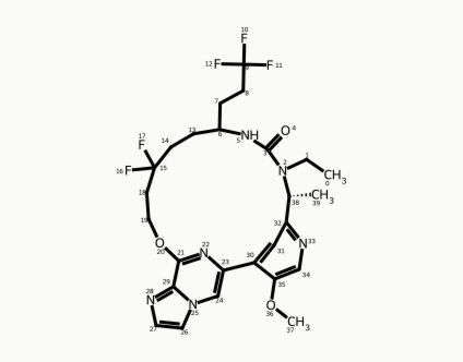 CCN1C(=O)NC(CCC(F)(F)F)CCC(F)(F)CCOc2nc(cn3ccnc23)-c2cc(ncc2OC)[C@H]1C